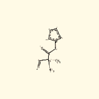 C[C@](N)([C]=O)C(=O)Cc1cccs1